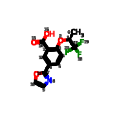 C[C@H](Oc1ccc(-c2ncco2)cc1C(=O)O)C(F)(F)F